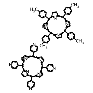 C1=Cc2nc1c(-c1ccncc1)c1ccc([nH]1)c(-c1ccncc1)c1nc(c(-c3ccncc3)c3ccc([nH]3)c2-c2ccncc2)C=C1.Cc1ccc(-c2c3nc(c(-c4ccc(C)cc4)c4ccc([nH]4)c(-c4ccc(C)cc4)c4nc(c(-c5ccc(C)cc5)c5ccc2[nH]5)C=C4)C=C3)cc1